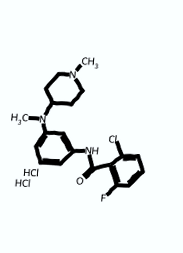 CN1CCC(N(C)c2cccc(NC(=O)c3c(F)cccc3Cl)c2)CC1.Cl.Cl